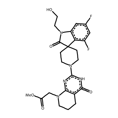 COC(=O)CN1CCCc2c1nc(N1CCC3(CC1)C(=O)N(CCO)c1cc(F)cc(F)c13)[nH]c2=O